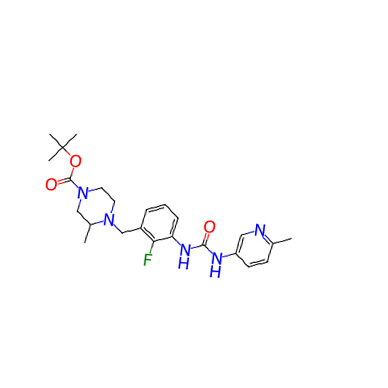 Cc1ccc(NC(=O)Nc2cccc(CN3CCN(C(=O)OC(C)(C)C)CC3C)c2F)cn1